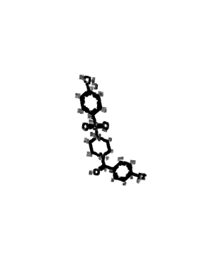 CCc1ccc(C(=O)N2CCN(S(=O)(=O)c3ccc(C)cc3)CC2)cc1